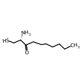 CCCCCCCC(=O)[C@@H](N)CS